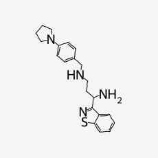 NC(CCNCc1ccc(N2CCCC2)cc1)c1nsc2ccccc12